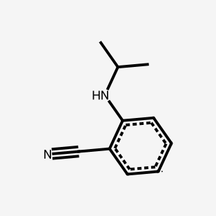 CC(C)Nc1cc[c]cc1C#N